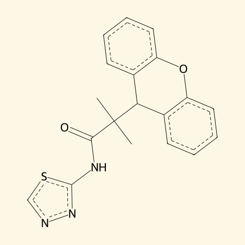 CC(C)(C(=O)Nc1nncs1)C1c2ccccc2Oc2ccccc21